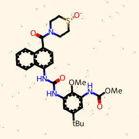 COC(=O)Nc1cc(C(C)(C)C)cc(NC(=O)Nc2ccc(C(=O)N3CC[S+]([O-])CC3)c3ccccc23)c1OC